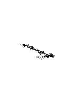 CCCCC(=O)NCCOCCOCC(=O)NCCOCCOCC(=O)NCCCC[C@H](CC(=O)[C@@H](N)Cc1cnc[nH]1)C(=O)CCC(=O)O